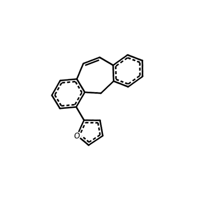 C1=Cc2cccc(-c3ccco3)c2Cc2ccccc21